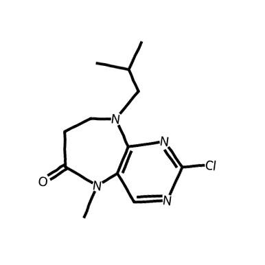 CC(C)CN1CCC(=O)N(C)c2cnc(Cl)nc21